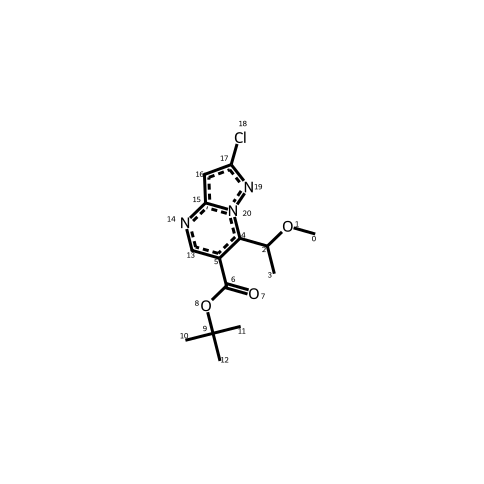 COC(C)c1c(C(=O)OC(C)(C)C)cnc2cc(Cl)nn12